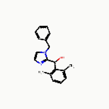 Cc1cccc(C)c1C(O)c1nccn1Cc1ccccc1